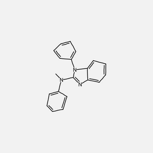 CN(c1ccccc1)c1nc2ccccc2n1-c1ccccc1